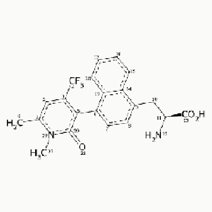 Cc1cc(C(F)(F)F)c(-c2ccc(C[C@H](N)C(=O)O)c3ccccc23)c(=O)n1C